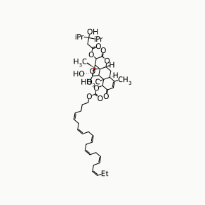 CC/C=C\C/C=C\C/C=C\C/C=C\C/C=C\C/C=C\CCCOC(=O)O[C@@H]1C(=O)C=C(C)[C@@H]2C[C@H]3OC(=O)C(OC(=O)CC(O)(C(C)C)C(C)C)C4[C@@H](C)[C@@H](O)[C@@]5(O)OC[C@@]43C5[C@@]12C